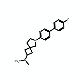 CN(C(=O)O)C1CC2(CCN(c3ccc(-c4ccc(F)cc4)cn3)C2)C1